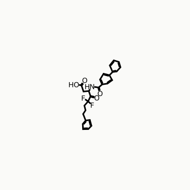 O=C(O)CC(NC(=O)c1ccc(-c2ccccc2)cc1)C(=O)C(F)(F)CCCc1ccccc1